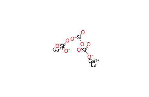 O=[Si]([O-])[O-].O=[Si]([O-])[O-].O=[Si]([O-])[O-].[Ga+3].[Ga+3].[La]